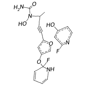 CC(C#Cc1cc(OC2(F)C=CC=CN2)co1)N(O)C(N)=O.Oc1ccnc(F)c1